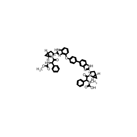 COC(=O)NC(C(=O)N1[C@@H]2C[C@@H]2C[C@H]1c1nc2c(Oc3ccc(-c4ccc5[nH]c([C@@H]6C[C@H]7C[C@H]7N6C(=O)C(c6ccccc6)N(C)C(=O)O)nc5c4)cc3)cccc2[nH]1)c1ccccc1